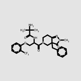 CN1N=C2CCN(C(=O)C(COc3ccccc3C(F)(F)F)NC(=O)C(C)(C)N)CC2(Cc2ccccc2)C1=O